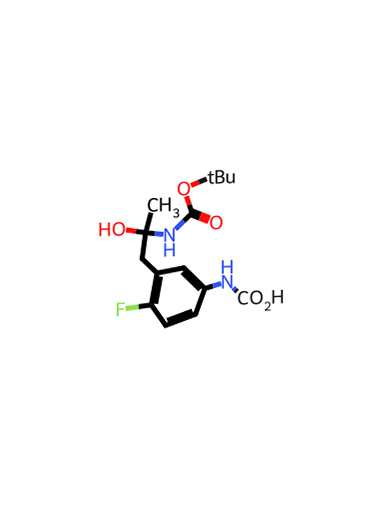 CC(O)(Cc1cc(NC(=O)O)ccc1F)NC(=O)OC(C)(C)C